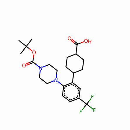 CC(C)(C)OC(=O)N1CCN(c2ccc(C(F)(F)F)cc2C2CCC(C(=O)O)CC2)CC1